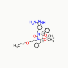 CCCCOCCCCN1C(=O)N(Cc2ccc3[nH]nc(N)c3c2)[C@H](Cc2ccccc2)[C@@H]2OC(C)(C)O[C@H]2[C@H]1Cc1ccccc1